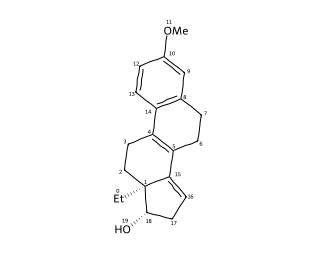 CC[C@]12CCC3=C(CCc4cc(OC)ccc43)C1=CC[C@@H]2O